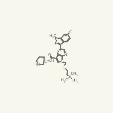 Cn1nc(-c2cnc3c(n2)c(C(=O)N[C@@H]2CCCNC2)cn3COCC[Si](C)(C)C)c2ccc(Cl)cc21